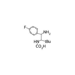 CC(C)(C)C(NC(=O)O)C(N)c1ccc(F)cc1